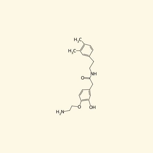 Cc1ccc(CCNC(=O)Cc2ccc(OCCN)c(O)c2)cc1C